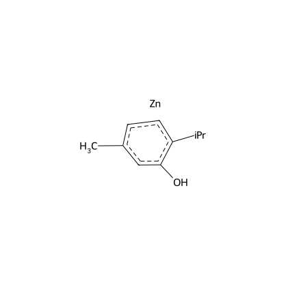 Cc1ccc(C(C)C)c(O)c1.[Zn]